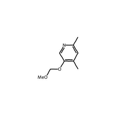 COCOc1cnc(C)cc1C